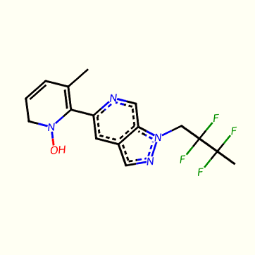 CC1=C(c2cc3cnn(CC(F)(F)C(C)(F)F)c3cn2)N(O)CC=C1